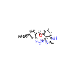 C=C1N=C(N)c2c(cccc2OCc2ccc(OC)cc2)N1